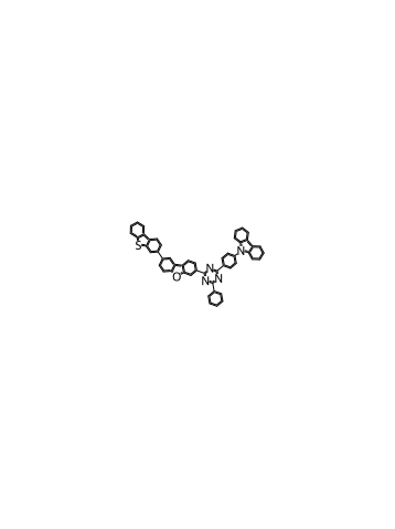 c1ccc(-c2nc(-c3ccc(-n4c5ccccc5c5ccccc54)cc3)nc(-c3ccc4c(c3)oc3ccc(-c5ccc6c(c5)sc5ccccc56)cc34)n2)cc1